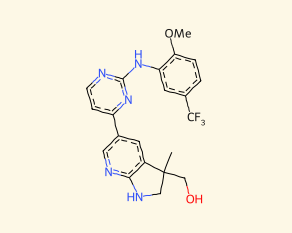 COc1ccc(C(F)(F)F)cc1Nc1nccc(-c2cnc3c(c2)C(C)(CO)CN3)n1